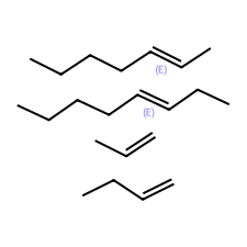 C/C=C/CCCC.C=CC.C=CCC.CC/C=C/CCCC